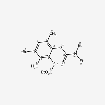 CCOC(=O)Sc1c(C)c(C(C)(C)C)cc(C)c1SC(=O)N(CC)CC